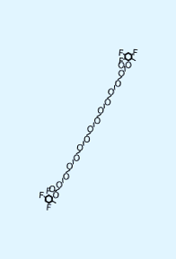 Cc1c(F)cc(F)c(F)c1OC(=O)COCCOCCOCCOCCOCCOCCOCCOCCOCCOCCOCCOCCOCC(=O)Oc1c(C)c(F)cc(F)c1F